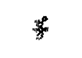 CCCOc1c(C#N)c(N)nc(SC(C(N)=O)c2ccccc2)c1C#N